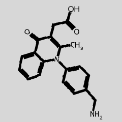 Cc1c(CC(=O)O)c(=O)c2ccccc2n1-c1ccc(CN)cc1